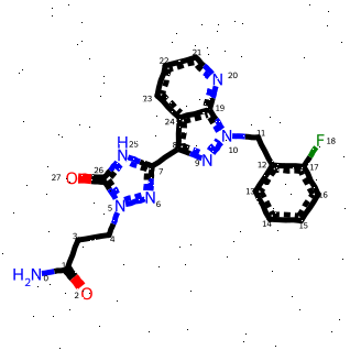 NC(=O)CCn1nc(-c2nn(Cc3ccccc3F)c3ncccc23)[nH]c1=O